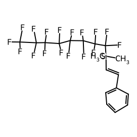 C[Si](C)(C=Cc1ccccc1)C(F)(F)C(F)(F)C(F)(F)C(F)(F)C(F)(F)C(F)(F)C(F)(F)C(F)(F)F